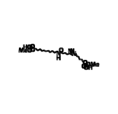 COP(=O)(O)OCCCCCCCCCCCNC(=O)CCCc1cn(CCCCCCOP(=O)(O)OC)nn1